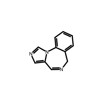 C1=NCc2ccccc2-n2cncc21